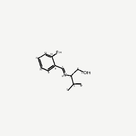 CC(C)C(CO)N=Cc1ccccc1F